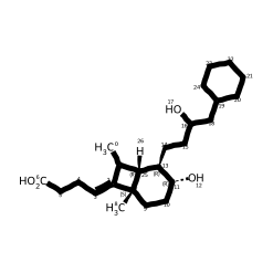 CC1C(=CCCC(=O)O)[C@@]2(C)CC[C@@H](O)[C@H](CCC(O)CC3CCCCC3)[C@@H]12